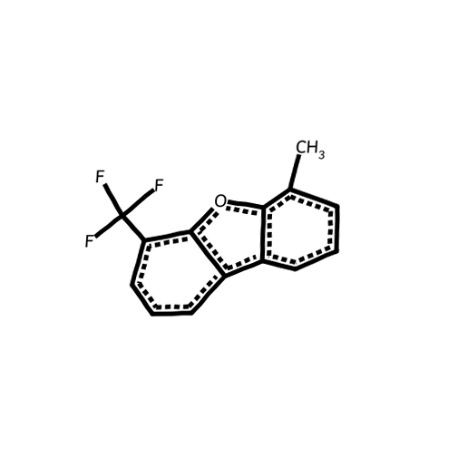 Cc1cccc2c1oc1c(C(F)(F)F)cccc12